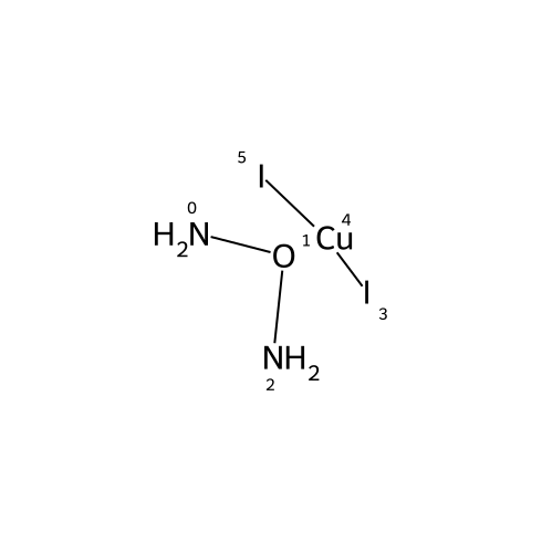 NON.[I][Cu][I]